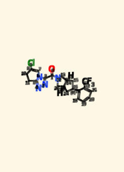 O=C(c1nnc2n1C=C(Cl)CC2)N1C[C@H]2C[C@@H](c3ccccc3C(F)(F)F)C[C@H]2C1